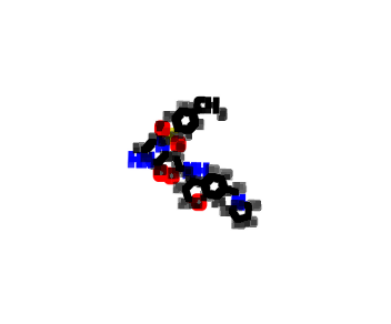 Cc1ccc(S(=O)(=O)N2C=CNC(=O)[C@H]2CC(=O)N[C@@H]2CCOc3cc(CN4CCCC4)ccc32)cc1